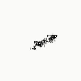 C[C@H](CCC(=O)N[C@H]1CC[C@@]2(C)[C@@H](C1)C[C@@H](O)[C@@H]1[C@@H]2C[C@H](O)[C@@]2(C)[C@H]1CC[C@]2(I)[C@H](C)CCC(=O)O)[C@H]1CC[C@H]2[C@@H]3[C@H](O)C[C@@H]4CCCC[C@]4(C)[C@H]3C[C@H](O)[C@]12C